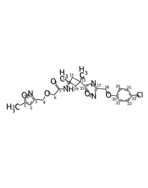 Cc1cc(COCC(=O)NC2(C)CC(C)(c3nc(COc4ccc(Cl)cc4)no3)C2)no1